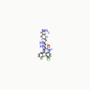 CN1C(=O)C(NC(=S)NCC2CCC(CN)CC2)N=C(c2ccccc2)c2cc(Cl)ccc21